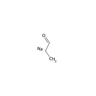 CCC=O.[Na]